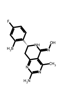 Bc1cc(F)ccc1[C@H]1Cc2nc(N)nc(C)c2/C(=N/O)N1